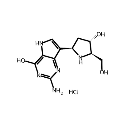 Cl.Nc1nc(O)c2[nH]cc([C@H]3C[C@H](O)[C@@H](CO)N3)c2n1